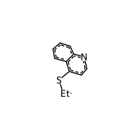 C[CH]Sc1ccnc2ccccc12